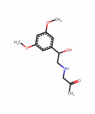 COc1cc(OC)cc(C(O)CNCC(C)=O)c1